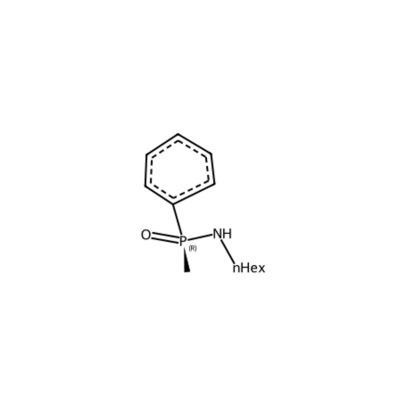 CCCCCCN[P@](C)(=O)c1ccccc1